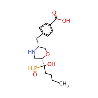 CCCCC(O)([PH2]=O)[C@@H]1CN[C@H](Cc2ccc(C(=O)O)cc2)CO1